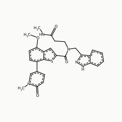 CNC(=O)CCN(Cc1n[nH]c2ccccc12)C(=O)c1cc2c(OC)ccc(-c3ccc(=O)n(C)c3)c2s1